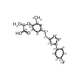 Cc1cc(SCc2nnc(-c3ccc(F)cc3)s2)ccc1OC(C)C(=O)O